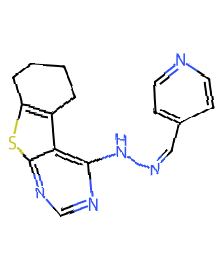 C(=N/Nc1ncnc2sc3c(c12)CCCC3)/c1ccncc1